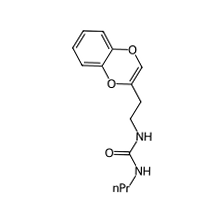 CCCNC(=O)NCCC1=COc2ccccc2O1